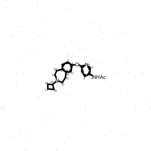 CC(=O)Nc1ccc(Oc2ccc3c(c2)CCN(C2CCC2)CC3)nc1